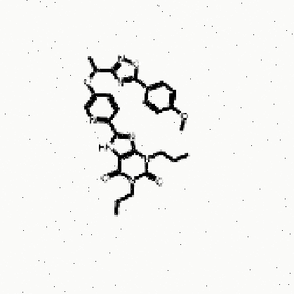 CCCn1c(=O)c2[nH]c(-c3ccc(OC(C)c4noc(-c5ccc(OC)cc5)n4)cn3)nc2n(CCC)c1=O